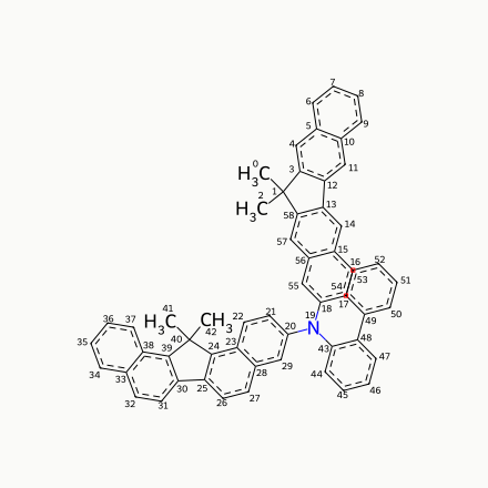 CC1(C)c2cc3ccccc3cc2-c2cc3ccc(N(c4ccc5c6c(ccc5c4)-c4ccc5ccccc5c4C6(C)C)c4ccccc4-c4ccccc4)cc3cc21